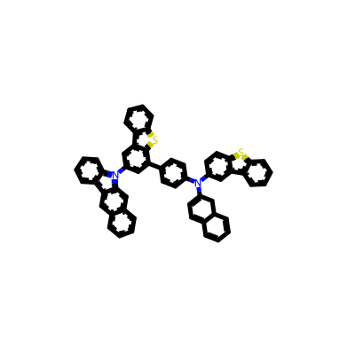 C1=CC2=CC=C(N(c3ccc(-c4cc(-n5c6ccccc6c6cc7ccccc7cc65)cc5c4sc4ccccc45)cc3)c3ccc4sc5ccccc5c4c3)CC2C=C1